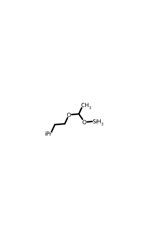 CC(C)CCOC(C)O[SiH3]